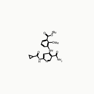 COc1c(Nc2cc(NC(=O)C3CC3)ncc2C(N)=O)cccc1C(=O)OC(C)(C)C